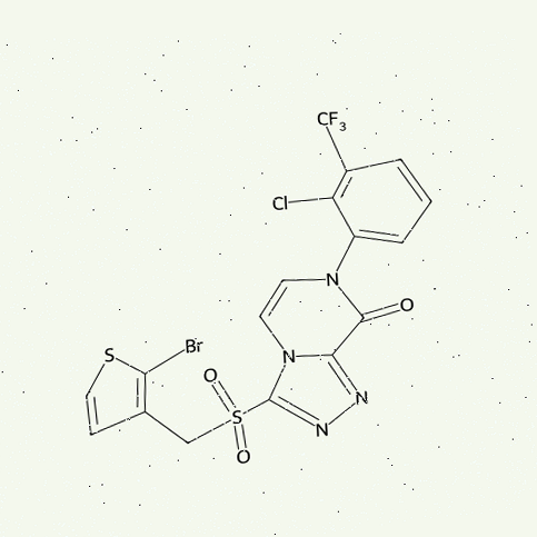 O=c1c2nnc(S(=O)(=O)Cc3ccsc3Br)n2ccn1-c1cccc(C(F)(F)F)c1Cl